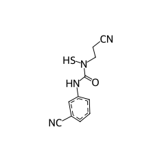 N#CCCN(S)C(=O)Nc1cccc(C#N)c1